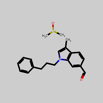 C[S+](C)[O-].Cc1cn(CCCc2ccccc2)c2cc(C=O)ccc12